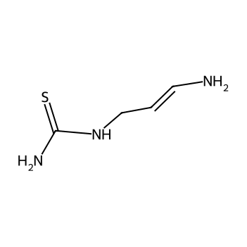 NC=CCNC(N)=S